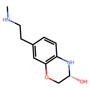 CNCCc1ccc2c(c1)OC[C@@H](O)N2